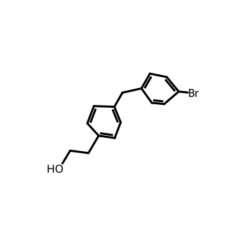 OCCc1ccc(Cc2ccc(Br)cc2)cc1